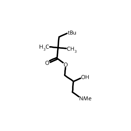 CNCC(O)COC(=O)C(C)(C)CC(C)(C)C